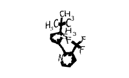 CC(C)(C)c1ccc(-c2ncccc2C(F)(F)F)s1